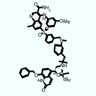 COc1cccc(Nc2c(C(N)=O)cnc3c(C)cc(S(=O)(=O)c4cccc(CN(C)c5cccc(CC(C)(C)NC[C@H](O[Si](C)(C)C(C)(C)C)c6ccc(OCc7ccccc7)c7[nH]c(=O)ccc67)c5)c4)cc23)c1